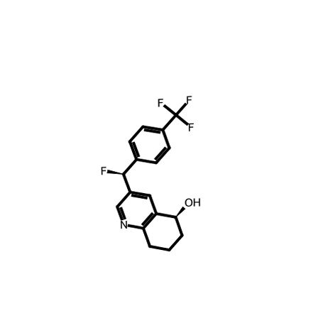 O[C@H]1CCCc2ncc([C@@H](F)c3ccc(C(F)(F)F)cc3)cc21